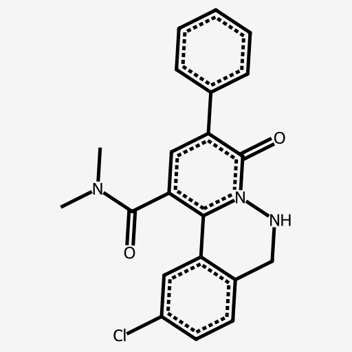 CN(C)C(=O)c1cc(-c2ccccc2)c(=O)n2c1-c1cc(Cl)ccc1CN2